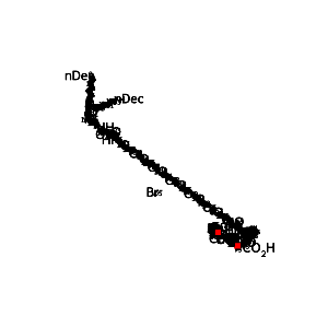 CCCCCCCCCCCCCCCCOCC(C[N+](C)(C)CCCNC(=O)CCC(=O)NCCOCCOCCOCCOCCOCCOCCOCCOCCOCCOCCOCCOCCC(=O)NCCC1(C(=O)N[C@H](C(=O)O)C(C)c2ccc(NC(=O)c3c(Cl)cccc3Cl)cc2)CCCC1)OCCCCCCCCCCCCCCCC.[Br-]